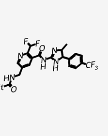 CCC(=O)NCc1cnc(C(F)F)c(C(=O)NC2=NC(C)C(c3ccc(C(F)(F)F)cc3)N2)c1